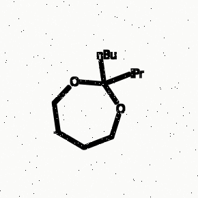 CCCCC1(C(C)C)OC[CH]CCO1